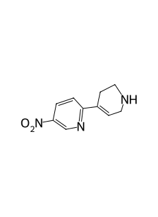 O=[N+]([O-])c1ccc(C2=CCNCC2)nc1